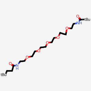 CC(C)(C)CCC(=O)NCCOCCOCCOCCOCCOCCNC(=O)C(C)(C)C